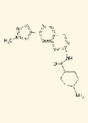 Cn1cc(-c2cc3cc(NC(=O)C4CCC(N)CC4)ncc3cn2)cn1